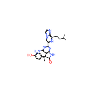 CC(C)CCc1nc(-c2nc(N)c3c(n2)NC(=O)[C@]3(C)c2ccc(O)cc2)cn2ccnc12